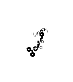 COc1ccc(/C=C/C(=O)NCCCN2CCN(C(c3ccccc3)c3ccccc3)CC2)cc1OC.Cl.Cl